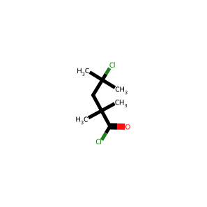 CC(C)(Cl)CC(C)(C)C(=O)Cl